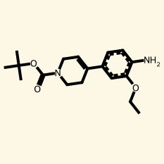 CCOc1cc(C2=CCN(C(=O)OC(C)(C)C)CC2)ccc1N